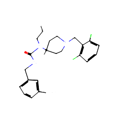 COCCN(C(=O)NCc1cccc(OC)c1)C1(C=O)CCN(Cc2c(Cl)cccc2Cl)CC1